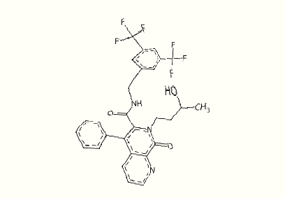 CC(O)CCn1c(C(=O)NCc2cc(C(F)(F)F)cc(C(F)(F)F)c2)c(-c2ccccc2)c2cccnc2c1=O